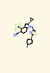 Cc1ccc(-c2nc(Cn3c(C4CC4)cc4c(C(F)(F)F)c(C#N)ccc43)cs2)cc1